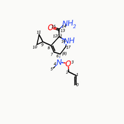 C=CCON(C)[C@@H]1C=C(C2CC2)[C@@H](C(N)=O)NC1